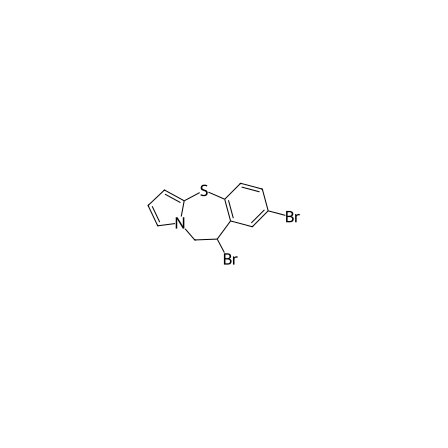 Brc1ccc2c(c1)C(Br)Cn1cccc1S2